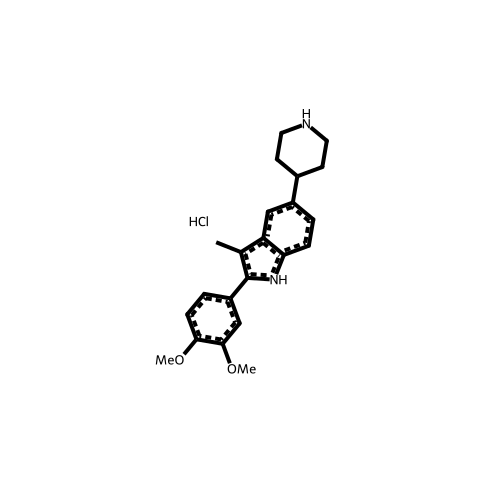 COc1ccc(-c2[nH]c3ccc(C4CCNCC4)cc3c2C)cc1OC.Cl